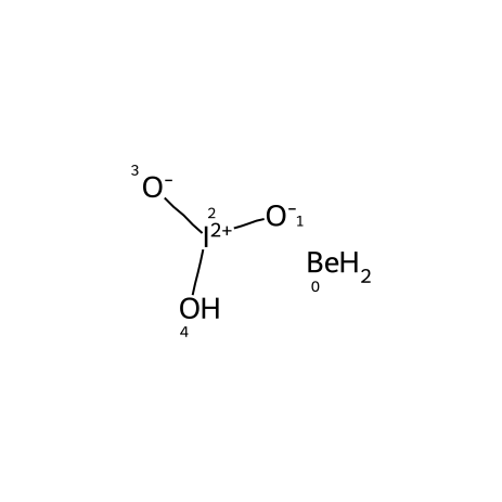 [BeH2].[O-][I+2]([O-])O